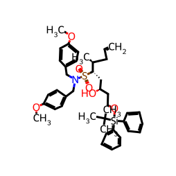 C=CC[C@H](C)[C@H](C[C@H](O)CCO[Si](c1ccccc1)(c1ccccc1)C(C)(C)C)S(=O)(=O)N(Cc1ccc(OC)cc1)Cc1ccc(OC)cc1